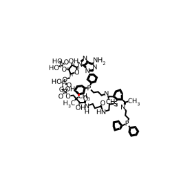 CC(=NCCCP(c1ccccc1)c1ccccc1)c1cccc(C(C)=NCCCP(c2ccccc2)c2ccccc2)c1SCCNC(=O)CCNC(=O)[C@H](O)C(C)(C)COP(=O)(O)OP(=O)(O)OC[C@H]1O[C@@H](n2cnc3c(N)ncnc32)[C@H](O)[C@@H]1OP(=O)(O)O